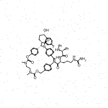 CC(C)N[C@H](C(=O)N[C@@H](CCCNC(N)=O)C(=O)Nc1ccc(COC(=O)N(C)CCN(C)C(=O)Oc2ccc([C@@H]3[C@@H](CC[C@H](O)c4ccc(F)cc4)C(=O)N3c3ccc(F)cc3)cc2)cc1)C(C)C